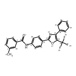 Cc1cccc(C(=O)Nc2ccc(-c3nc(-c4ccccc4)c(C(F)(F)F)o3)cc2)c1